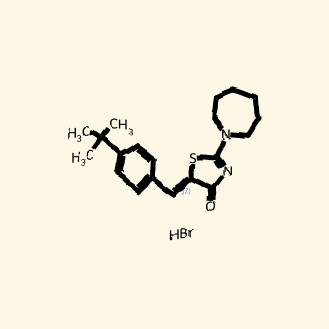 Br.CC(C)(C)c1ccc(/C=C2\SC(N3CCCCCC3)=NC2=O)cc1